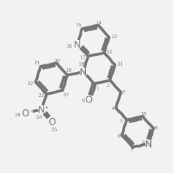 O=c1c(CCc2ccncc2)cc2cccnc2n1-c1cccc([N+](=O)[O-])c1